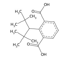 CC(C)(C)C(c1c(C(=O)O)cccc1C(=O)O)C(C)(C)C